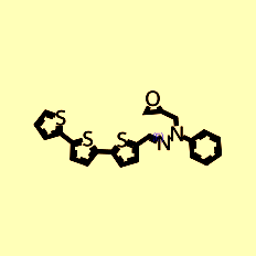 C(=N\N(CC1CO1)c1ccccc1)/c1ccc(-c2ccc(-c3cccs3)s2)s1